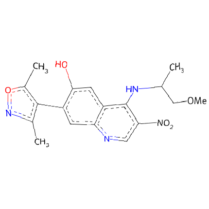 COCC(C)Nc1c([N+](=O)[O-])cnc2cc(-c3c(C)noc3C)c(O)cc12